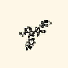 Nc1ncnc2c1c(Sc1cc(C(F)(F)F)ccn1)nn2[C@@H]1O[C@H](COS(N)(=O)=O)[C@@H](O)[C@@H]1F